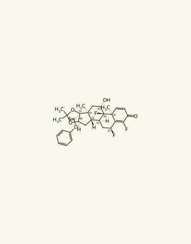 CC1(C)O[C@@H]2C[C@H]3[C@@H]4C[C@H](F)C5=C(F)C(=O)C=C[C@]5(C)[C@@]4(F)[C@@H](O)C[C@]3(C)[C@]2(C(=S)Oc2ccccc2)O1